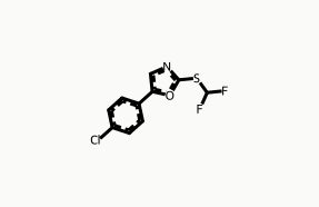 FC(F)Sc1ncc(-c2ccc(Cl)cc2)o1